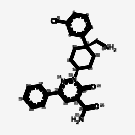 NC[C@]1(c2cccc(Cl)c2)CC[C@H](n2nc(-c3ccccc3)cc(C(N)=O)c2=O)CC1